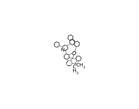 CC1(C)c2ccccc2C2(c3ccc(-c4cccc(-c5ccccc5)c4)cc3-c3c(-c4cc(-c5ccccc5)cc(-c5ccccc5)n4)cccc32)C2C=CC=CC21